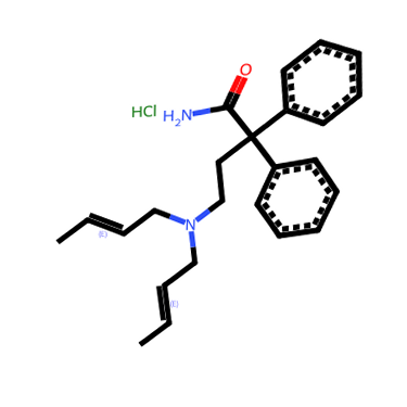 C/C=C/CN(C/C=C/C)CCC(C(N)=O)(c1ccccc1)c1ccccc1.Cl